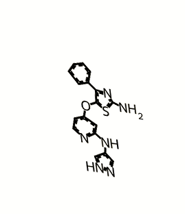 Nc1nc(-c2ccccc2)c(Oc2ccnc(Nc3cn[nH]c3)c2)s1